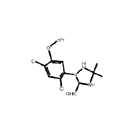 CCCOc1cc(N2NC(C)(C)NC2C=O)c(Cl)cc1Cl